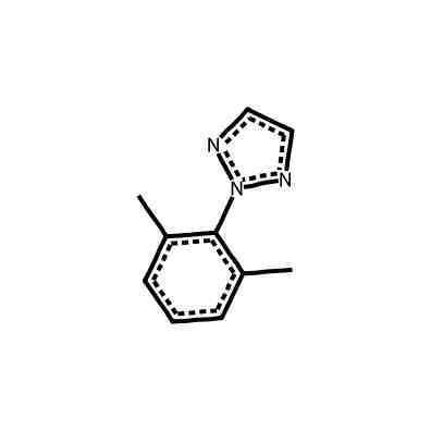 Cc1cccc(C)c1-n1nccn1